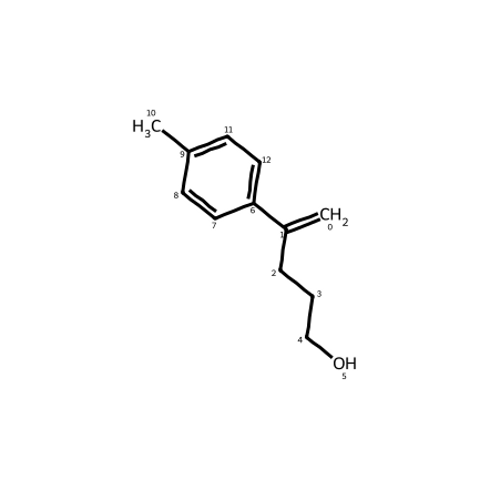 C=C(CCCO)c1ccc(C)cc1